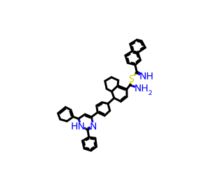 N=C(SC(N)C1=C2CCCCC2C(C2C=CC(C3=CC(C4=CC=CCC4)NC(c4ccccc4)=N3)=CC2)C=C1)c1ccc2ccccc2c1